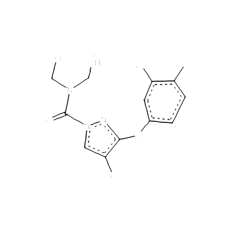 CCN(CC)C(=O)n1cc(Cl)c(Sc2ccc(F)c(Cl)c2)n1